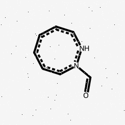 O=Cn1cccccc[nH]1